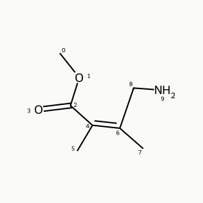 COC(=O)C(C)=C(C)CN